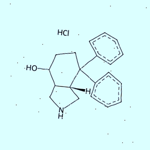 Cl.OC1CCC(c2ccccc2)(c2ccccc2)[C@@H]2CNCC12